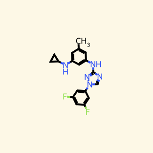 Cc1cc(Nc2ncn(-c3cc(F)cc(F)c3)n2)cc(NC2CC2)c1